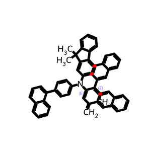 C=C(/C=C(\C(=C/C)c1ccc2ccccc2c1)N(c1ccc(-c2cccc3ccccc23)cc1)c1ccc2c(c1)C(C)(C)c1ccccc1-2)c1ccc2ccccc2c1